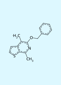 [CH2]c1c(OCc2ccccc2)nc(C)c2sccc12